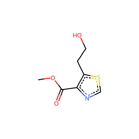 COC(=O)c1ncsc1CCO